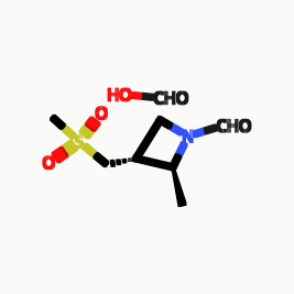 C[C@H]1[C@H](CS(C)(=O)=O)CN1C=O.O=CO